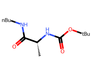 CCCCNC(=O)[C@@H](C)NC(=O)OC(C)(C)C